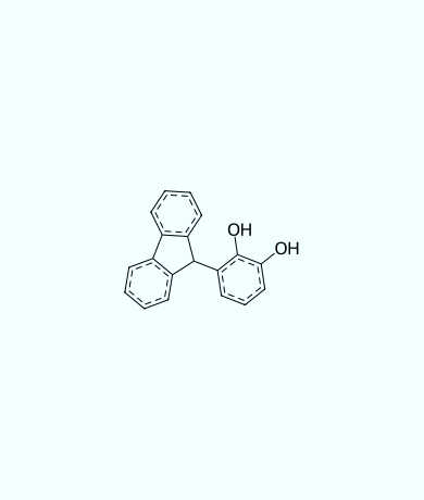 Oc1cccc(C2c3ccccc3-c3ccccc32)c1O